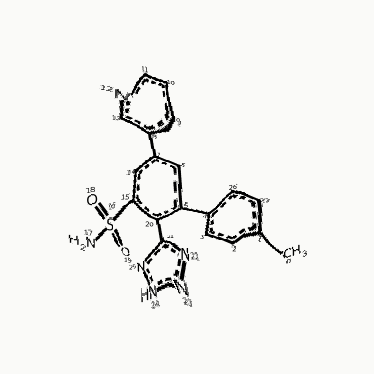 Cc1ccc(-c2cc(-c3cccnc3)cc(S(N)(=O)=O)c2-c2nn[nH]n2)cc1